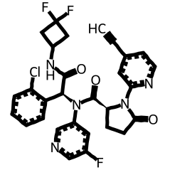 C#Cc1ccnc(N2C(=O)CC[C@H]2C(=O)N(c2cncc(F)c2)[C@H](C(=O)NC2CC(F)(F)C2)c2ccccc2Cl)c1